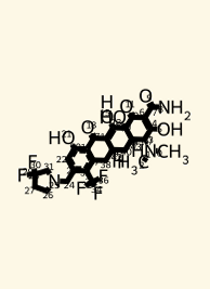 CN(C)[C@@H]1C(O)=C(C(N)=O)C(=O)[C@@]2(O)C(O)=C3C(=O)c4c(O)cc(CN5CCC(F)(F)C5)c(C(F)(F)F)c4C[C@H]3C[C@@H]12